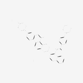 Cc1cc2cc(N3CCN(C)CC3)ccc2c2ccc3c(c12)CCC(c1ccc2ccccc2c1NC(=O)c1ccc(N2CCOCC2)cc1)C3.Cl.Cl